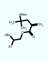 C=C(CC(C)(C)CCCCCCCCC)C(=O)OCC(CC)CCCC